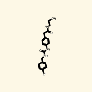 O=C(Cc1ccc(NC(=O)NCc2ccc(Cl)cc2)cc1)NCCO